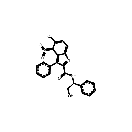 O=C(N[C@H](CO)c1ccccc1)C1=NC2=CC=C(Cl)C(=S(=O)=O)C2=C1c1ccccc1